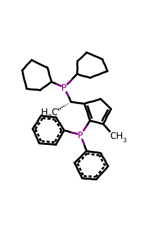 CC1=CCC([C@H](C)P(C2CCCCC2)C2CCCCC2)=C1P(c1ccccc1)c1ccccc1